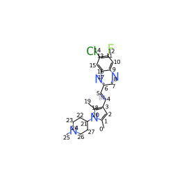 Cc1cc(/C=C/c2cnc3cc(F)c(Cl)cc3n2)c(C)n1C1CCN(C)CC1